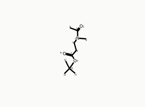 CC(=O)N(C)CCC(=O)OC(C)(C)C